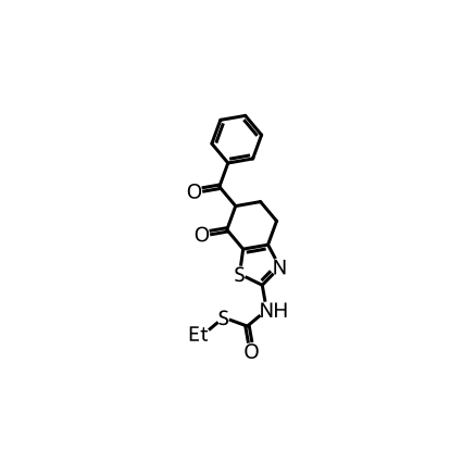 CCSC(=O)Nc1nc2c(s1)C(=O)C(C(=O)c1ccccc1)CC2